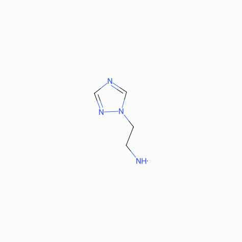 [NH]CCn1cncn1